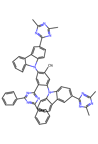 Cc1nc(C)nc(-c2ccc3c(c2)c2ccccc2n3-c2cc(-c3nc(-c4ccccc4)nc(-c4ccccc4)n3)c(-n3c4ccccc4c4cc(-c5nc(C)nc(C)n5)ccc43)cc2C#N)n1